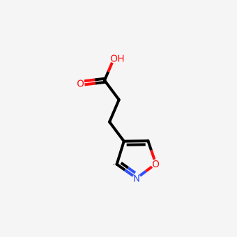 O=C(O)CCc1[c]noc1